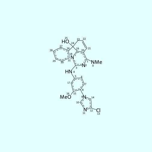 CNc1nc(Nc2ccc(-n3cnc(Cl)c3)c(OC)c2)nc2c1C=CCC2(O)c1ccccc1